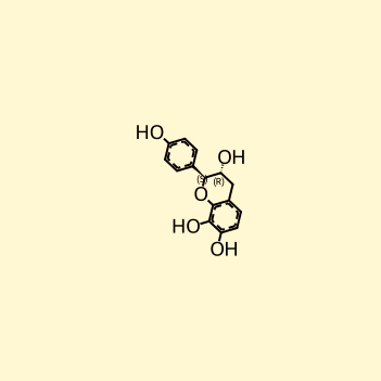 Oc1ccc([C@@H]2Oc3c(ccc(O)c3O)C[C@H]2O)cc1